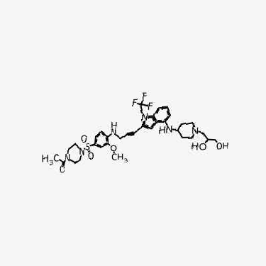 COc1cc(S(=O)(=O)N2CCN(C(C)=O)CC2)ccc1NCC#Cc1cc2c(NC3CCN(CC(O)CO)CC3)cccc2n1CC(F)(F)F